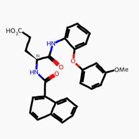 COc1cccc(Oc2ccccc2NC(=O)[C@H](CCC(=O)O)NC(=O)c2cccc3ccccc23)c1